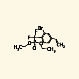 C=Cc1ccc(C(F)(F)P(=O)(OCC)OCC)c(Br)c1